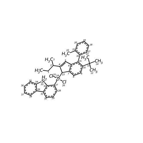 CCC(C)C1=Cc2c(ccc(C(C)(C)C)c2-c2ccccc2C)[CH]1[Zr]([Cl])([Cl])[c]1cccc2c1[SiH2]c1ccccc1-2